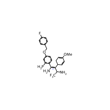 COC1=CCC(/C(=C(/N)c2ccc(OCc3ccc(F)cc3)cc2P)C(N)C(F)(F)F)C=C1